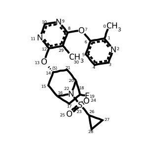 Cc1ncccc1Oc1ncnc(O[C@H]2CC3CC(F)C(C2)N3S(=O)(=O)C2CC2)c1C